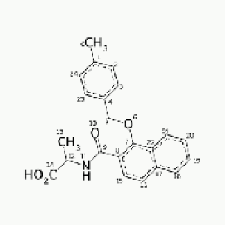 Cc1ccc(COc2c(C(=O)NC(C)C(=O)O)ccc3ccccc23)cc1